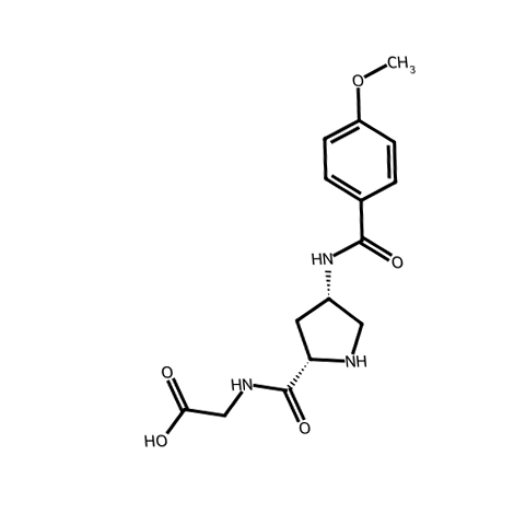 COc1ccc(C(=O)N[C@@H]2CN[C@H](C(=O)NCC(=O)O)C2)cc1